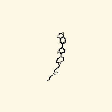 CCCNCCN1CCN(c2ccc(-c3ccc4c(c3)OCO4)cn2)CC1